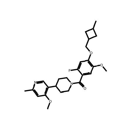 COc1cc(C(=O)N2CCC(c3cnc(C)cc3OC)CC2)c(F)cc1OCC1CC(C)C1